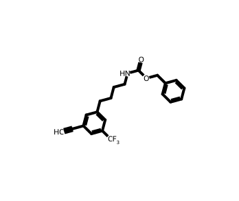 C#Cc1cc(CCCCNC(=O)OCc2ccccc2)cc(C(F)(F)F)c1